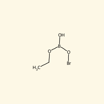 CCOB(O)OBr